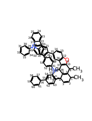 CC1C=CC2(C)C3=C1C(C)c1oc4ccc(-c5ccc6c(c5)c5ccccc5n6-c5ccccc5)cc4c1C3(C)N(c1ccc(-c3ccccc3)cc1)c1cc(-c3ccccc3)ccc12